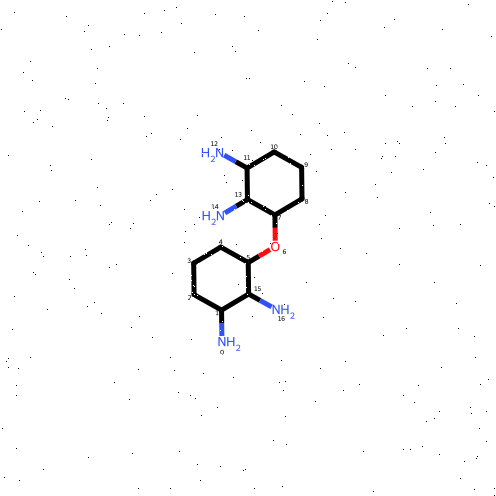 NC1CCCC(OC2CCCC(N)C2N)C1N